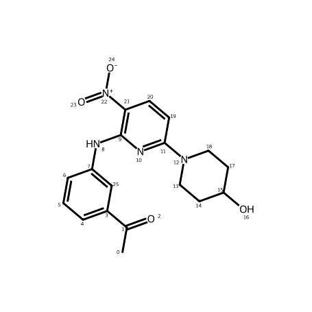 CC(=O)c1cccc(Nc2nc(N3CCC(O)CC3)ccc2[N+](=O)[O-])c1